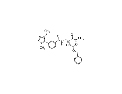 CCn1ncc(C)c1-c1cccc(C(=O)NC[C@@H](NC(=O)OCc2ccccc2)C(=O)OC)c1